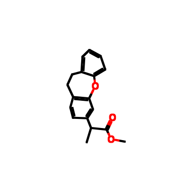 COC(=O)C(C)c1ccc2c(c1)Oc1ccccc1CC2